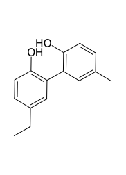 CCc1ccc(O)c(-c2cc(C)ccc2O)c1